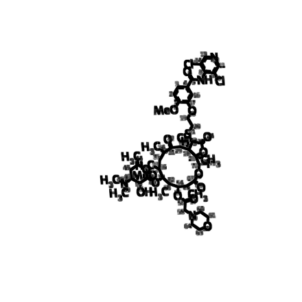 COc1ccc(C(=O)Nc2c(Cl)cncc2Cl)cc1OCCS[C@@H]1C(=O)O[C@@]2(C)[C@H]1[C@@H](C)C(=O)[C@H](C)C[C@@](C)(OC)[C@H](O[C@@H]1O[C@H](C)C[C@H](N(C)C)[C@H]1O)[C@@H](C)[C@H](OC(=O)CN1CCOCC1)[C@@H](C)C(=O)O[C@@H]2I